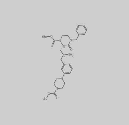 CC(C)(C)OC(=O)N1CCN(c2cccc(C[C@H](N)C[C@H]3C(=O)N(Cc4ccccc4)CCN3C(=O)OC(C)(C)C)c2)CC1